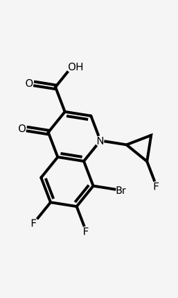 O=C(O)c1cn(C2CC2F)c2c(Br)c(F)c(F)cc2c1=O